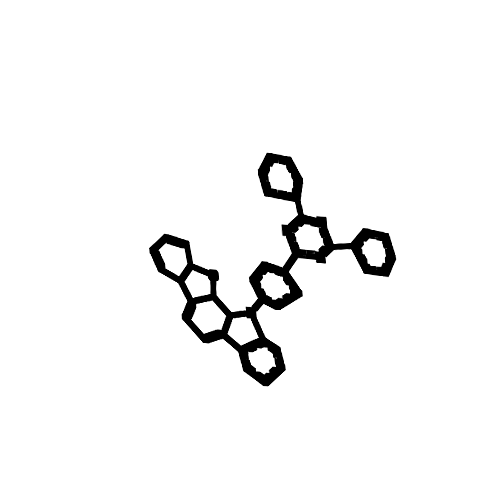 C1=CC2OC3C(=CC=C4c5ccccc5N(c5ccc(-c6nc(-c7ccccc7)nc(-c7ccccc7)n6)cc5)C43)C2C=C1